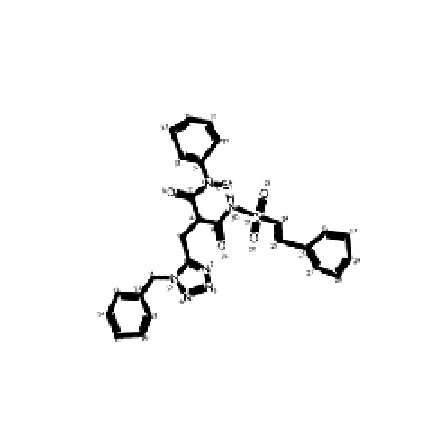 CCN(C(=O)C(Cc1nnnn1Cc1ccccc1)C(=O)NS(=O)(=O)C=Cc1ccccc1)c1ccccc1